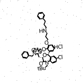 COc1c(OCCCNCCCc2ccccc2)cccc1[C@@H]1O[C@@H](CC(=O)N(C)Cc2ccccc2)C(=O)N(CC(C)(C)C)c2ccc(Cl)cc21.Cl